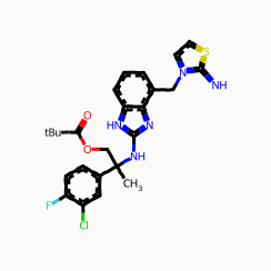 CC(C)(C)C(=O)OCC(C)(Nc1nc2c(Cn3ccsc3=N)cccc2[nH]1)c1ccc(F)c(Cl)c1